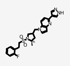 C[C@@H]1CC(Cn2ccc3nc(-c4cn[nH]c4)ccc32)CN1S(=O)(=O)CCc1ccccc1F